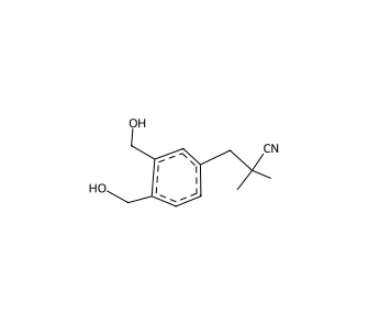 CC(C)(C#N)Cc1ccc(CO)c(CO)c1